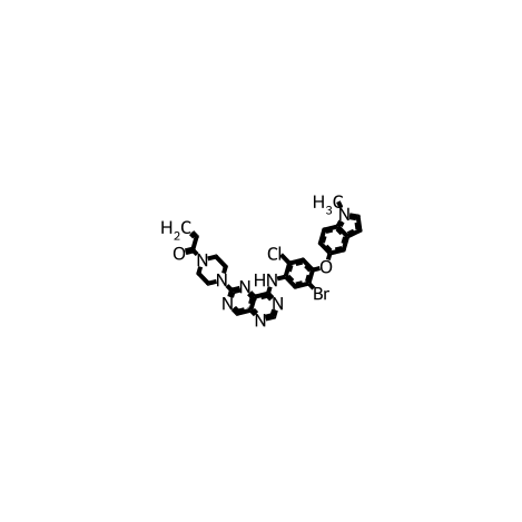 C=CC(=O)N1CCN(c2ncc3ncnc(Nc4cc(Br)c(Oc5ccc6c(ccn6C)c5)cc4Cl)c3n2)CC1